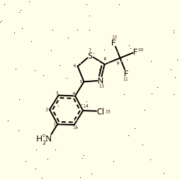 Nc1ccc(C2CSC(C(F)(F)F)=N2)c(Cl)c1